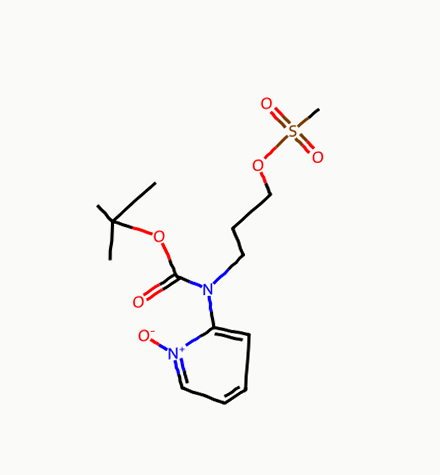 CC(C)(C)OC(=O)N(CCCOS(C)(=O)=O)c1cccc[n+]1[O-]